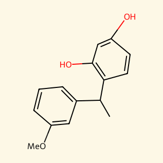 COc1cccc(C(C)c2ccc(O)cc2O)c1